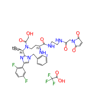 CC(C)(C)[C@H](c1nc(-c2cc(F)ccc2F)cn1Cc1ccccc1)N(CC[C@H](N)C(=O)NCCNC(=O)CN1C(=O)C=CC1=O)C(=O)CO.O=C(O)C(F)(F)F